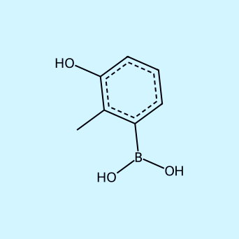 Cc1c(O)cccc1B(O)O